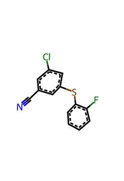 N#Cc1cc(Cl)cc(Sc2ccccc2F)c1